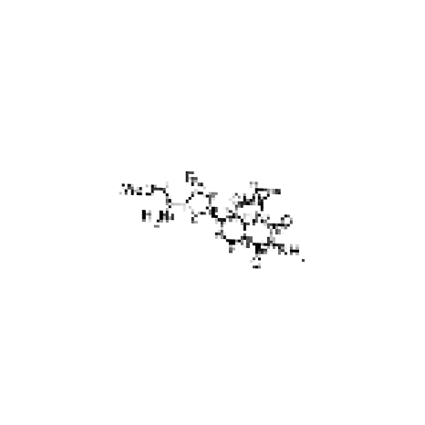 COC[C@H](N)[C@H]1CN(c2ccc3c(=O)n(N)c(=O)n(C4CC4)c3c2OC)C[C@H]1F